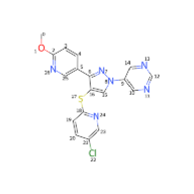 COc1ccc(-c2nn(-c3cncnc3)cc2Sc2ccc(Cl)cn2)cn1